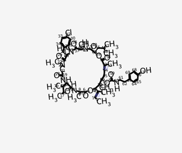 C/C=C(\C)[C@H]1OC(=O)[C@@H](C)NC(=O)[C@H]([C@H](C)CC)NC(=O)CN(C)C(=O)[C@@H](Cc2ccc(Cl)cc2)N(C)C(=O)[C@H](C)NC(=O)[C@@H](CC(C)C)OC(=O)/C(C)=C/C[C@H](OC(=O)NCCc2ccc(O)cc2)[C@@H]1C